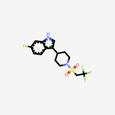 O=S(=O)(CC(F)(F)F)N1CCC(c2c[nH]c3cc(F)ccc23)CC1